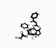 C/C(=C\C(=O)O[C@H]1C2C(C)CC[C@H]2[C@]2(C)O[C@@]1(C1CCCCC1)C[C@H]2OC(=O)CO)c1ccccc1